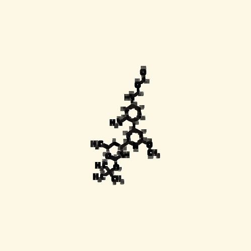 C=CC[C@H](NC(=O)OC(C)(C)C)c1cc(-c2ccc(NCOC=O)cc2N)cc(OC)n1